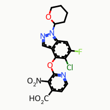 O=C(O)c1ccnc(Oc2c(Cl)c(F)cc3c2cnn3C2CCCCO2)c1[N+](=O)[O-]